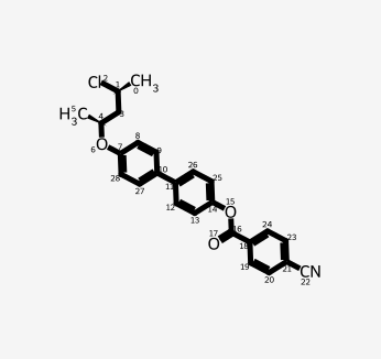 C[C@H](Cl)C[C@H](C)Oc1ccc(-c2ccc(OC(=O)c3ccc(C#N)cc3)cc2)cc1